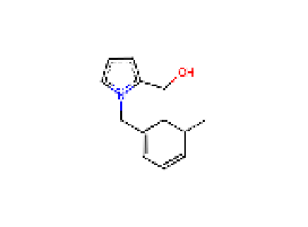 CC1C=CC=C(Cn2cccc2CO)C1